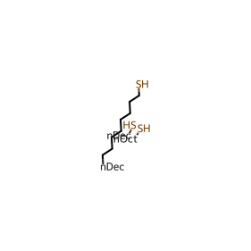 CCCCCCCCCCCCCCCCCCS.CCCCCCCCCCS.CCCCCCCCS